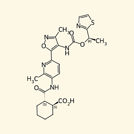 Cc1nc(-c2onc(C)c2NC(=O)O[C@H](C)c2nccs2)ccc1NC(=O)[C@H]1CCCC[C@@H]1C(=O)O